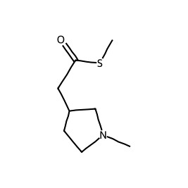 CSC(=O)CC1CCN(C)C1